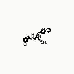 COCc1nn(Cc2ccc(N3CCCC3)nc2)cc1C(=O)NCc1csc2ccc(Cl)cc12